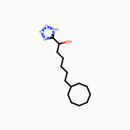 OC(CCCCCC1CCCCCCC1)c1nnn[nH]1